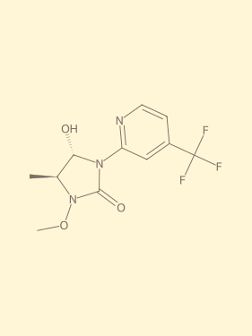 CON1C(=O)N(c2cc(C(F)(F)F)ccn2)[C@@H](O)[C@@H]1C